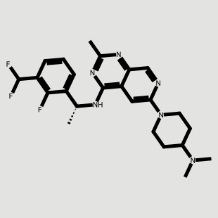 Cc1nc(N[C@H](C)c2cccc(C(F)F)c2F)c2cc(N3CCC(N(C)C)CC3)ncc2n1